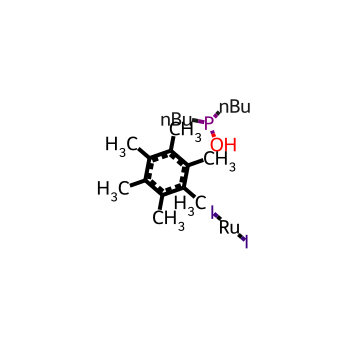 CCCCP(O)CCCC.Cc1c(C)c(C)c(C)c(C)c1C.[I][Ru][I]